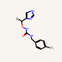 CCC(ONC(=O)NCc1ccc(C(F)(F)F)cc1)c1c[nH]cn1